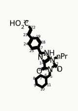 CCCn1c(=O)n(CC2CCCCC2)c(=O)c2nc(-c3ccc(C=CC(=O)O)cc3)[nH]c21